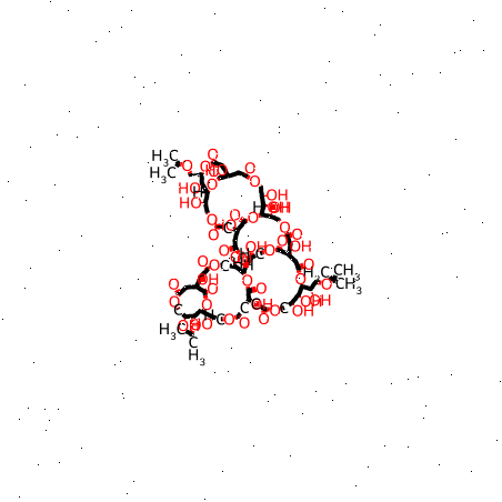 CC(C)OC[C@H]1OC(=O)CC2(O)CC(=O)OC[C@H](O)[C@@H](O)[C@@H]3OC(=O)C(O)(CC(=O)OC[C@H](O)[C@@H](OC2=O)[C@@H]1O)CC(=O)O[C@H]1[C@@H]2OC(=O)C(O)(CC(=O)OC[C@@H](O)[C@@H](O)[C@@H]([C@@H](O)COC(C)(C)C)OC(=O)CC(O)(CC(=O)OC[C@H]3O)C(=O)OC[C@@H]1O)CC(=O)OC[C@H](O)[C@H]1OC(=O)C(O)(CC(=O)OC[C@H]2O)CC(=O)OC[C@@H](O)[C@H]1OC(C)C